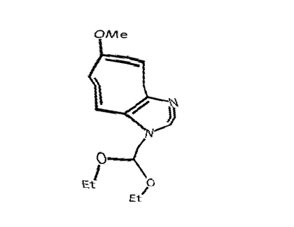 CCOC(OCC)n1cnc2cc(OC)ccc21